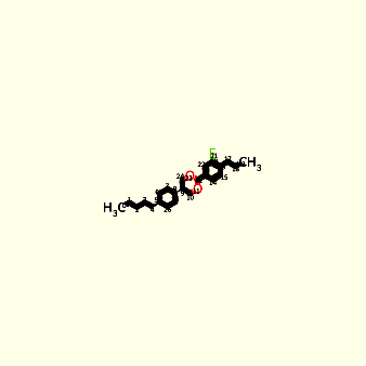 CCCCC[C@H]1CC[C@H](C2COC(c3ccc(CCC)c(F)c3)OC2)CC1